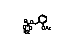 CCOP(=O)(OCC)OCc1ccccc1OC(C)=O